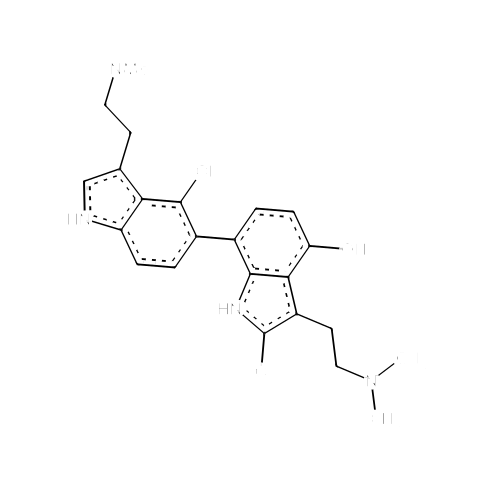 CNCCc1c[nH]c2ccc(-c3ccc(O)c4c(CCN(C)C)c(O)[nH]c34)c(O)c12